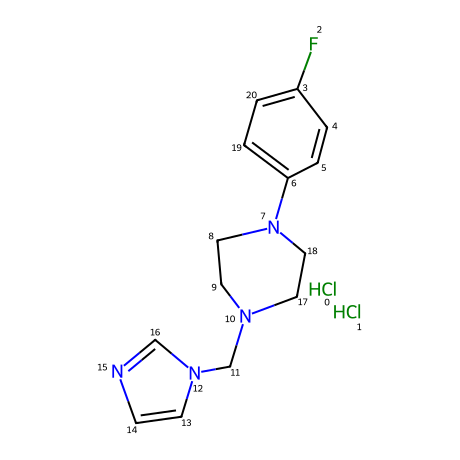 Cl.Cl.Fc1ccc(N2CCN(Cn3ccnc3)CC2)cc1